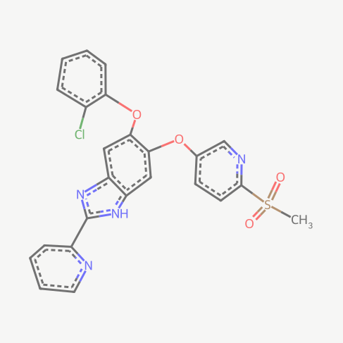 CS(=O)(=O)c1ccc(Oc2cc3[nH]c(-c4ccccn4)nc3cc2Oc2ccccc2Cl)cn1